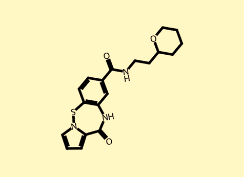 O=C(NCCC1CCCCO1)c1ccc2c(c1)NC(=O)c1cccn1S2